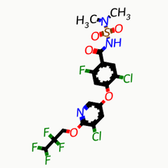 CN(C)S(=O)(=O)NC(=O)c1cc(Cl)c(Oc2cnc(OCC(F)(F)C(F)F)c(Cl)c2)cc1F